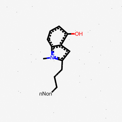 CCCCCCCCCCCCc1cc2c(O)cccc2n1C